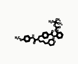 COc1ccc(NC(=O)N(CCCN2CCOCC2)Cc2ccc(C(=O)Nc3ccccc3NC(=O)OC(C)(C)C)cc2)cc1